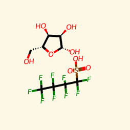 O=S(=O)(O)C(F)(F)C(F)(F)C(F)(F)C(F)(F)F.OC[C@H]1O[C@@H](O)[C@H](O)[C@@H]1O